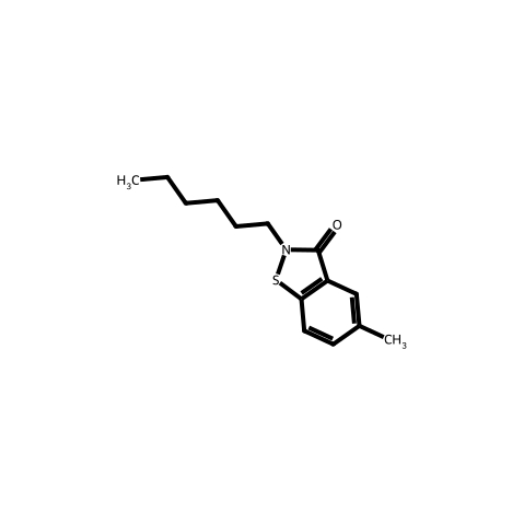 CCCCCCn1sc2ccc(C)cc2c1=O